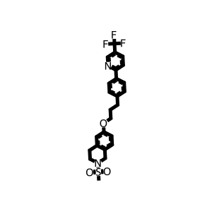 CS(=O)(=O)N1CCc2cc(OCCCc3ccc(-c4ccc(C(F)(F)F)cn4)cc3)ccc2C1